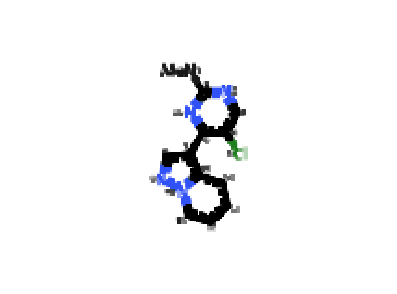 CNc1ncc(Cl)c(-c2cnn3ccccc23)n1